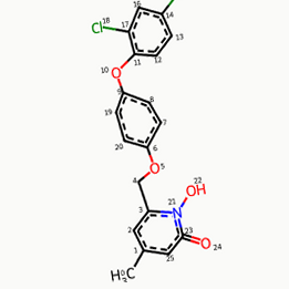 Cc1cc(COc2ccc(Oc3ccc(Cl)cc3Cl)cc2)n(O)c(=O)c1